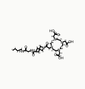 CCCCNC(=O)CNC(=O)C1CC2(C1)CN(C(=O)CN1CCN(CC(=O)O)CCN(CC(=O)O)CCN(CC(=O)O)CC1)C2